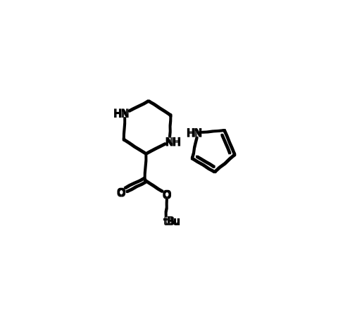 CC(C)(C)OC(=O)C1CNCCN1.c1cc[nH]c1